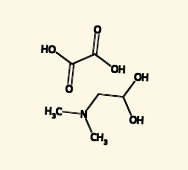 CN(C)CC(O)O.O=C(O)C(=O)O